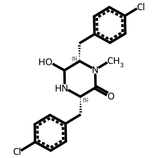 CN1C(=O)[C@H](Cc2ccc(Cl)cc2)NC(O)[C@@H]1Cc1ccc(Cl)cc1